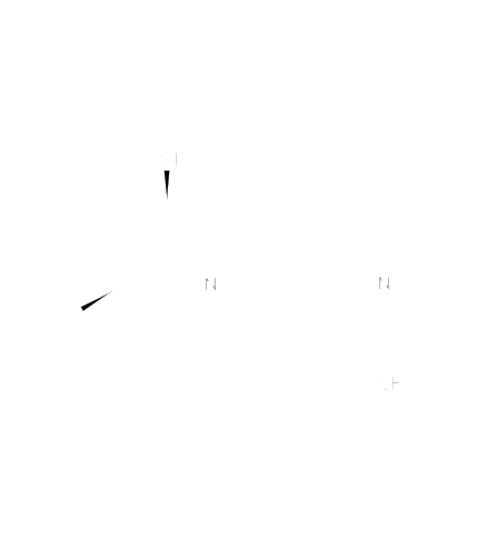 C[C@H]1C[C@@H](O)CN(c2ccc(C(F)(F)F)c3ncccc23)C1